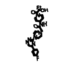 CCC(O)C(=O)N1CCC(NC(=O)CN2CCN(c3nncc(-c4ccc(F)cc4)n3)CC2)CC1